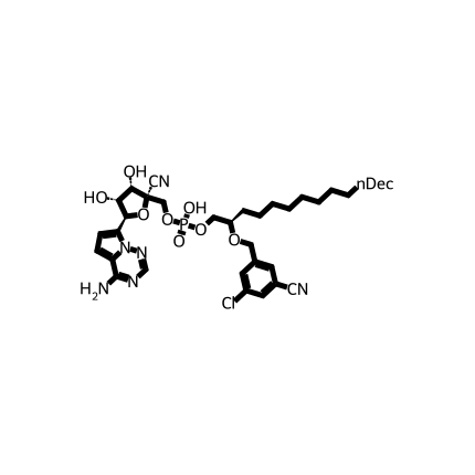 CCCCCCCCCCCCCCCCCC[C@H](COP(=O)(O)OC[C@@]1(C#N)O[C@@H](c2ccc3c(N)ncnn23)[C@H](O)[C@@H]1O)OCc1cc(Cl)cc(C#N)c1